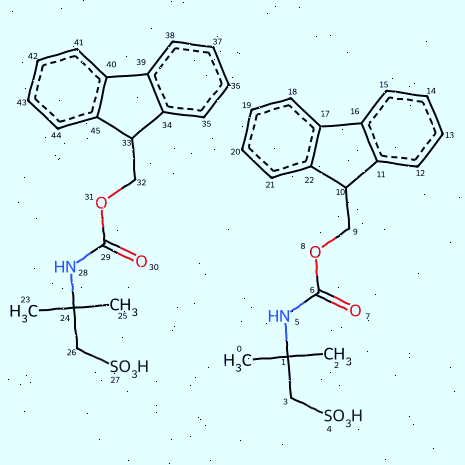 CC(C)(CS(=O)(=O)O)NC(=O)OCC1c2ccccc2-c2ccccc21.CC(C)(CS(=O)(=O)O)NC(=O)OCC1c2ccccc2-c2ccccc21